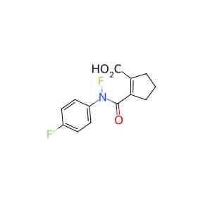 O=C(O)C1=C(C(=O)N(F)c2ccc(F)cc2)CCC1